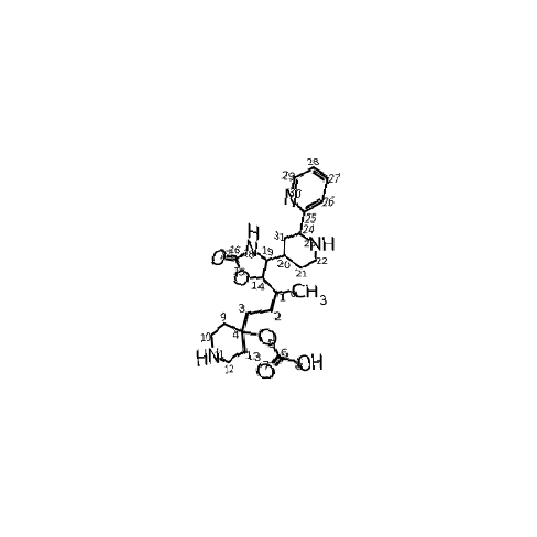 CC(CCC1(OC(=O)O)CCNCC1)C1OC(=O)NC1C1CCNC(c2ccccn2)C1